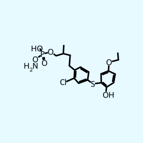 CCOc1ccc(O)c(Sc2ccc(CCC(C)COP(=O)(O)ON)c(Cl)c2)c1